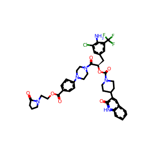 Nc1c(Cl)cc(C[C@@H](OC(=O)N2CCC(c3cc4ccccc4[nH]c3=O)CC2)C(=O)N2CCN(c3ccc(C(=O)OCCN4CCCC4=O)cc3)CC2)cc1C(F)(F)F